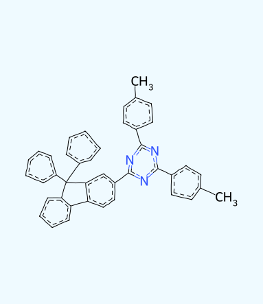 Cc1ccc(-c2nc(-c3ccc(C)cc3)nc(-c3ccc4c(c3)C(c3ccccc3)(c3ccccc3)c3ccccc3-4)n2)cc1